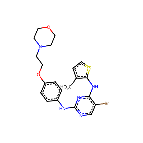 O=C(O)c1ccsc1Nc1nc(Nc2ccc(OCCN3CCOCC3)cc2)ncc1Br